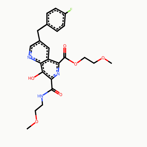 COCCNC(=O)c1nc(C(=O)OCCOC)c2cc(Cc3ccc(F)cc3)cnc2c1O